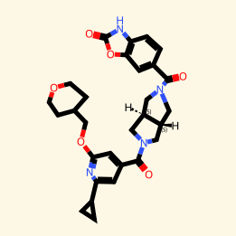 O=C(c1cc(OCC2CCOCC2)nc(C2CC2)c1)N1C[C@H]2CN(C(=O)c3ccc4[nH]c(=O)oc4c3)C[C@@H]2C1